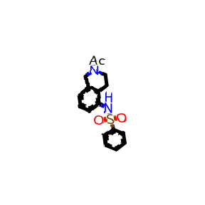 CC(=O)N1CCc2c(cccc2NS(=O)(=O)c2ccccc2)C1